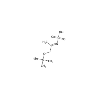 C/C(CO[Si](C)(C)C(C)(C)C)=N\S(=O)(=O)C(C)(C)C